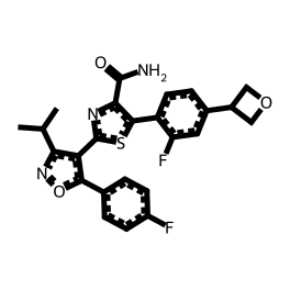 CC(C)c1noc(-c2ccc(F)cc2)c1-c1nc(C(N)=O)c(-c2ccc(C3COC3)cc2F)s1